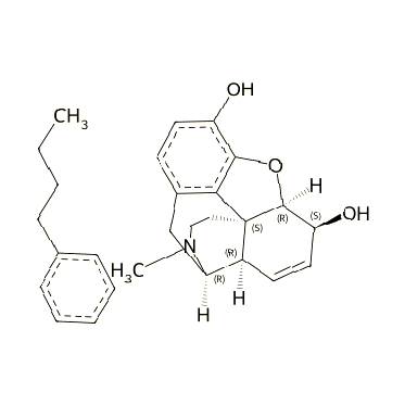 CCCCc1ccccc1.CN1CC[C@]23c4c5ccc(O)c4O[C@H]2[C@@H](O)C=C[C@H]3[C@H]1C5